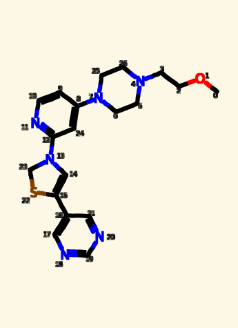 COCCN1CCN(c2ccnc(N3C=C(c4cncnc4)SC3)c2)CC1